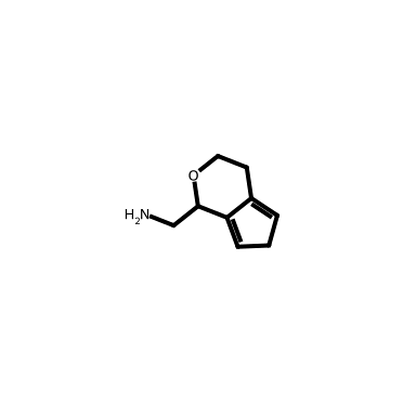 NCC1OCCC2=CCC=C21